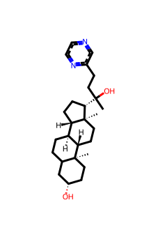 CC(O)(CCc1cnccn1)[C@H]1CC[C@H]2[C@@H]3CCC4C[C@@H](O)CC[C@]4(C)[C@H]3CC[C@]12C